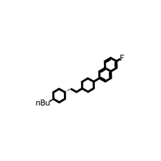 CCCC[C@H]1CC[C@H](CCC2CCC(c3ccc4cc(F)ccc4c3)CC2)CC1